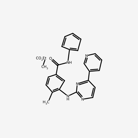 CCOC(C)=O.Cc1ccc(C(=O)Nc2ccccc2)cc1Nc1nccc(-c2cccnc2)n1